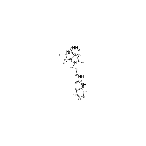 Cc1nc(N)c2nc(C)n(CCCNC(=S)Nc3ccccc3)c2c1C